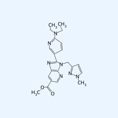 CCN(CC)c1ccc(-c2nc3cc(C(=O)OC)cnc3n2Cc2ccn(C)n2)cn1